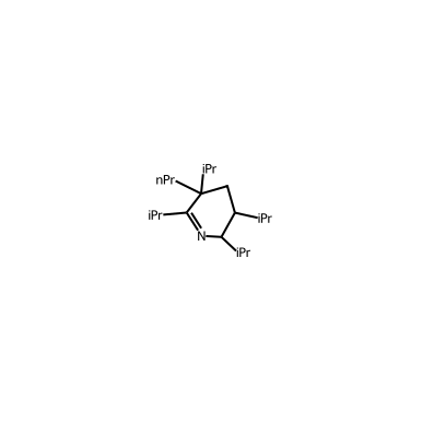 CCCC1(C(C)C)CC(C(C)C)C(C(C)C)N=C1C(C)C